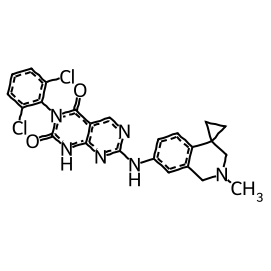 CN1Cc2cc(Nc3ncc4c(=O)n(-c5c(Cl)cccc5Cl)c(=O)[nH]c4n3)ccc2C2(CC2)C1